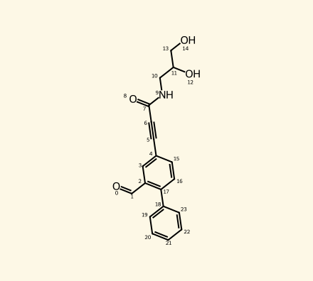 O=Cc1cc(C#CC(=O)NCC(O)CO)ccc1-c1ccccc1